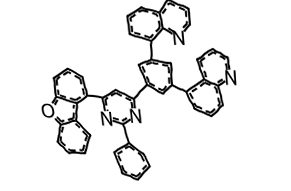 c1ccc(-c2nc(-c3cc(-c4cccc5ncccc45)cc(-c4cccc5cccnc45)c3)cc(-c3cccc4oc5ccccc5c34)n2)cc1